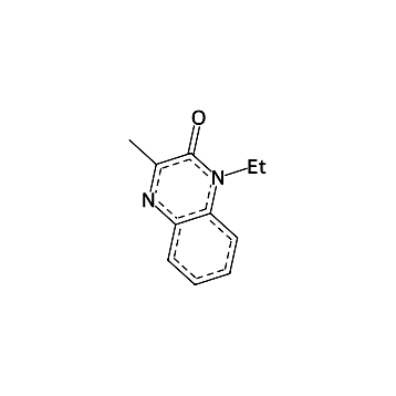 CCn1c(=O)c(C)nc2ccccc21